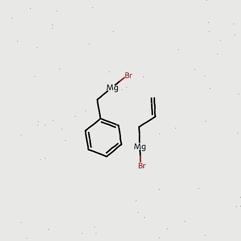 C=C[CH2][Mg][Br].[Br][Mg][CH2]c1ccccc1